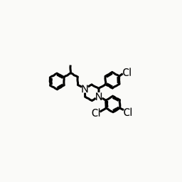 CC(CCN1CCN(c2ccc(Cl)cc2Cl)C(c2ccc(Cl)cc2)C1)c1ccccc1